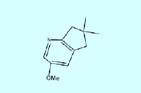 COc1cnc2c(c1)CC(C)(C)C2